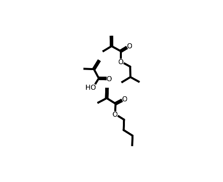 C=C(C)C(=O)O.C=C(C)C(=O)OCC(C)C.C=C(C)C(=O)OCCCC